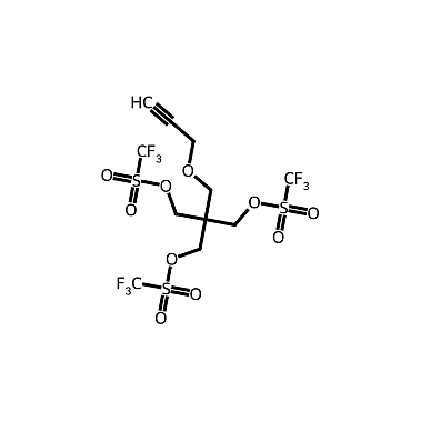 C#CCOCC(COS(=O)(=O)C(F)(F)F)(COS(=O)(=O)C(F)(F)F)COS(=O)(=O)C(F)(F)F